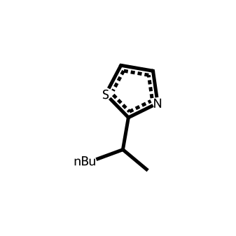 CCCCC(C)c1nccs1